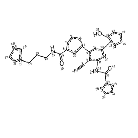 N#Cc1c(-c2cccc(C(=O)NCCCn3ccnc3)c2)cc(-c2ccccc2O)nc1NC(=O)c1nccs1